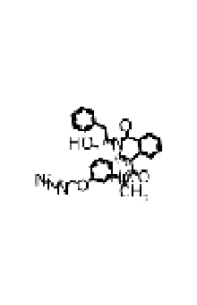 COc1cc(OCN=[N+]=[N-])ccc1[C@H]1[C@H](C(=O)O)c2ccccc2C(=O)N1[C@H](CO)Cc1ccccc1